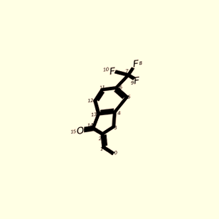 C/C=C1\Cc2cc(C(F)(F)F)ccc2C1=O